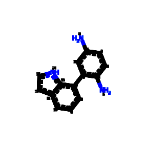 Nc1ccc(N)c(-c2cccc3cc[nH]c23)c1